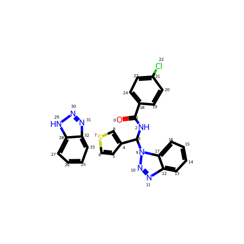 O=C(NC(c1ccsc1)n1nnc2ccccc21)c1ccc(Cl)cc1.c1ccc2[nH]nnc2c1